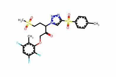 Cc1ccc(S(=O)(=O)c2cn(C(CCS(C)(=O)=O)C(=O)COc3c(C)c(F)cc(F)c3F)nn2)cc1